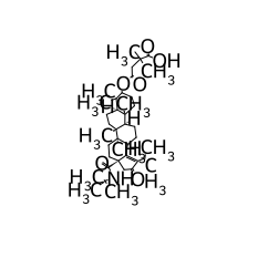 CC(C)C1=C2[C@H]3CC[C@@H]4[C@@]5(C)CC[C@H](OC(=O)CC(C)(C)C(=O)O)C(C)(C)[C@@H]5CC[C@@]4(C)[C@]3(C)CC[C@@]2(C(=O)NC(C)(C)C)CC1=O